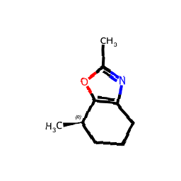 Cc1nc2c(o1)[C@H](C)CCC2